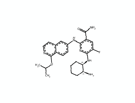 CC(C)Oc1nccc2cc(Nc3nc(N[C@@H]4CCCC[C@@H]4N)c(F)cc3C(N)=O)ccc12